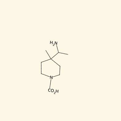 CC(N)C1(C)CCN(C(=O)O)CC1